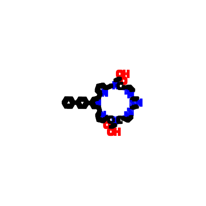 O=C(O)CN1Cc2cccc(n2)-c2cc(-c3ccc(-c4ccccc4)cc3)cc(n2)-c2cccc(n2)CN(CC(=O)O)Cc2ccn(n2)-c2cncc(n2)-n2ccc(n2)C1